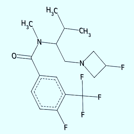 CC(C)C(CN1CC(F)C1)N(C)C(=O)c1ccc(F)c(C(F)(F)F)c1